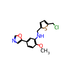 COc1ccc(-c2cnco2)cc1NCc1ccc(CCl)s1